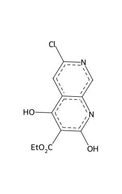 CCOC(=O)c1c(O)nc2cnc(Cl)cc2c1O